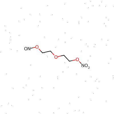 O=NOCCOCCO[N+](=O)[O-]